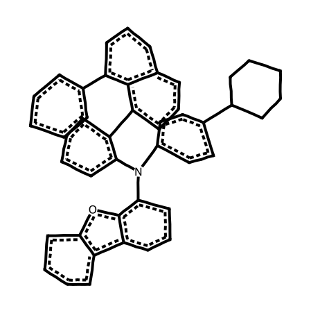 c1ccc(-c2cccc3cccc(-c4ccccc4N(c4ccc(C5CCCCC5)cc4)c4cccc5c4oc4ccccc45)c23)cc1